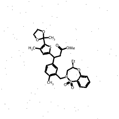 CC[C@@H]1CN(Cc2cc(C(CC(=O)OC)c3cc(C)c(C4(C)OCCO4)s3)ccc2C)S(=O)(=O)c2ccccc2O1